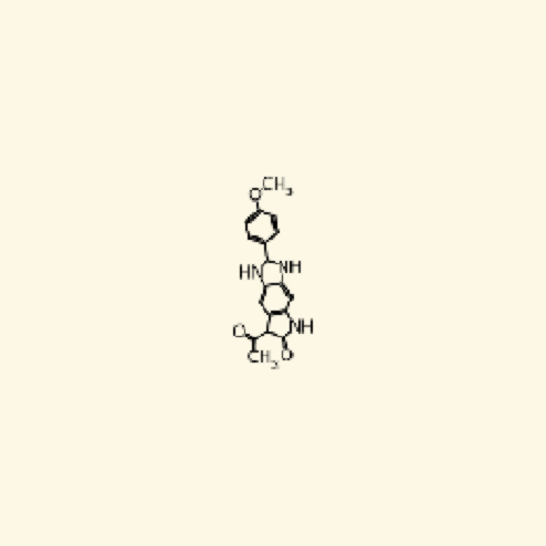 COc1ccc(C2Nc3cc4c(cc3N2)C(C(C)=O)C(=O)N4)cc1